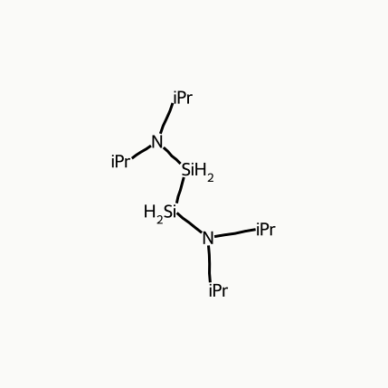 CC(C)N([SiH2][SiH2]N(C(C)C)C(C)C)C(C)C